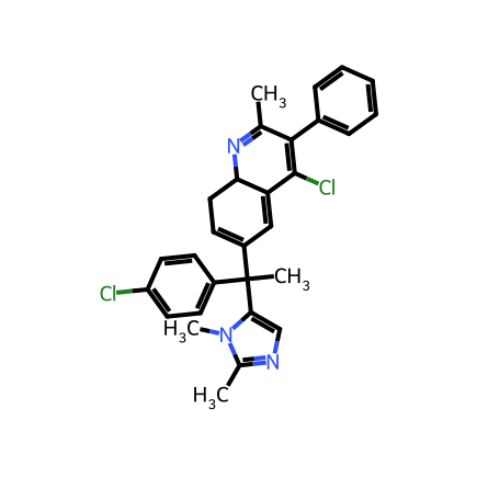 CC1=NC2CC=C(C(C)(c3ccc(Cl)cc3)c3cnc(C)n3C)C=C2C(Cl)=C1c1ccccc1